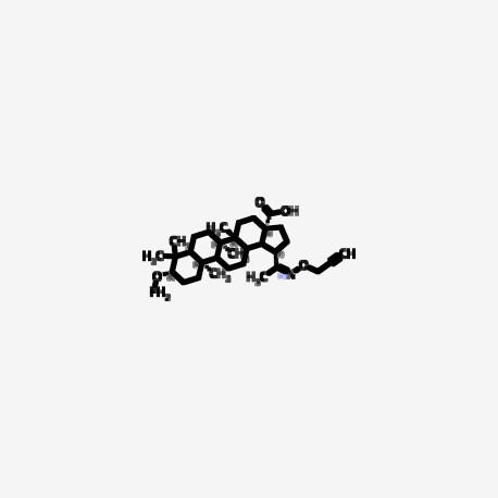 C#CCO/N=C(/C)[C@@H]1CC[C@]2(C(=O)O)CC[C@]3(C)C(CCC4[C@@]5(C)CC[C@H](OP)C(C)(C)C5CC[C@]43C)C12